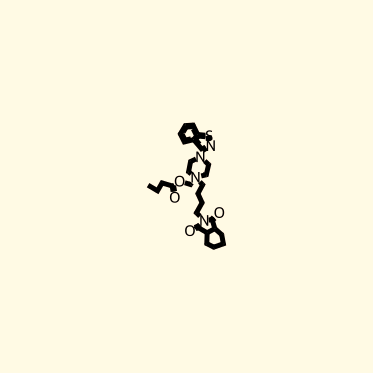 CCCC(=O)OC[N+]1(CCCCN2C(=O)C3CCCCC3C2=O)CCN(c2nsc3ccccc23)CC1